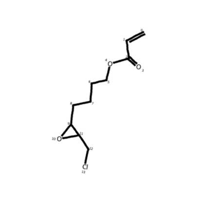 C=CC(=O)OCCCCC1OC1CCl